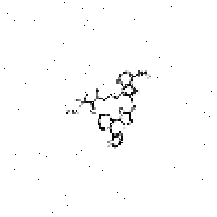 CC(=O)OC(C)(C)C(=O)NCCCn1c(SC2=COC(c3ccccc3-c3ncco3)O2)nc2c(N)ncnc21